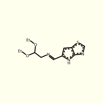 CCOC(CN=Cc1cc2scnc2[nH]1)OCC